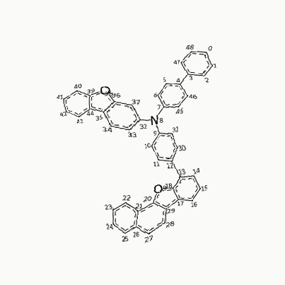 c1ccc(-c2ccc(N(c3ccc(-c4cccc5c4oc4c6ccccc6ccc54)cc3)c3ccc4c(c3)oc3ccccc34)cc2)cc1